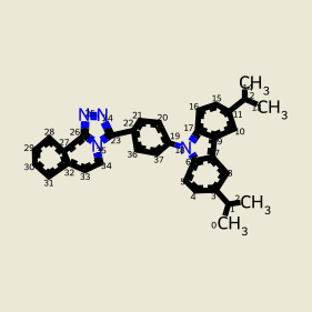 CC(C)c1ccc2c(c1)c1cc(C(C)C)ccc1n2-c1ccc(-c2nnc3c4ccccc4ccn23)cc1